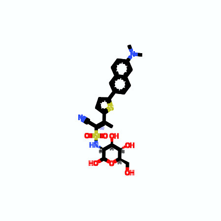 C/C(=C(/C#N)S(=O)(=O)N[C@H]1C(O)O[C@H](CO)[C@@H](O)[C@@H]1O)c1ccc(-c2ccc3cc(N(C)C)ccc3c2)s1